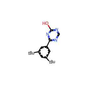 CC(C)(C)c1cc(-c2ncnc(O)n2)cc(C(C)(C)C)c1